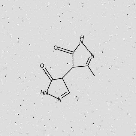 CC1=NNC(=O)C1C1C=NNC1=O